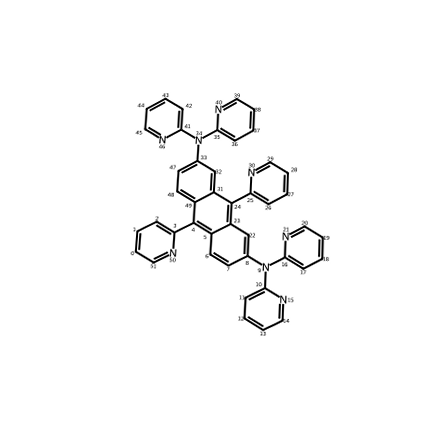 c1ccc(-c2c3ccc(N(c4ccccn4)c4ccccn4)cc3c(-c3ccccn3)c3cc(N(c4ccccn4)c4ccccn4)ccc23)nc1